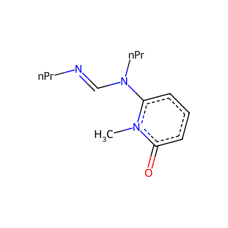 CCCN=CN(CCC)c1cccc(=O)n1C